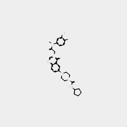 CN(C(=O)Cn1cnc2ccc(N3CCN(C(=O)NC4CCCC4)CC3)cc2c1=O)c1ccc(Cl)c(Cl)c1